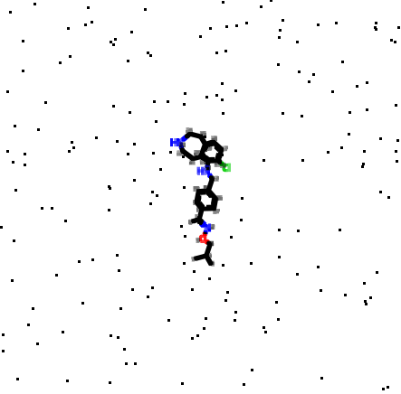 CC(=NOCC(C)C)c1ccc(CNc2c(Cl)ccc3c2CCNCC3)cc1